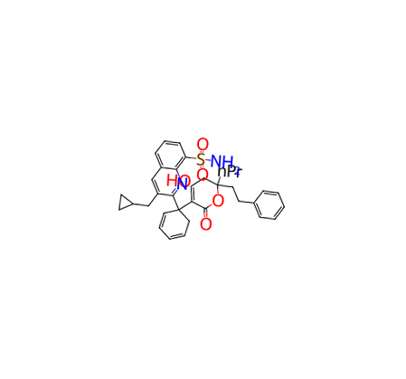 CCCC1(CCc2ccccc2)CC(O)=C(C2(c3nc4c(S(N)(=O)=O)cccc4cc3CC3CC3)C=CC=CC2)C(=O)O1